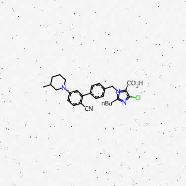 CCCCc1nc(Cl)c(C(=O)O)n1Cc1ccc(-c2cc(N3CCCC(C)C3)ccc2C#N)cc1